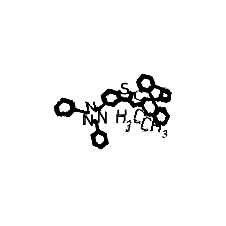 CC1(C)c2ccccc2C2(c3ccccc3-c3ccccc32)c2cc3sc4ccc(-c5nc(-c6ccccc6)nc(-c6ccccc6)n5)cc4c3cc21